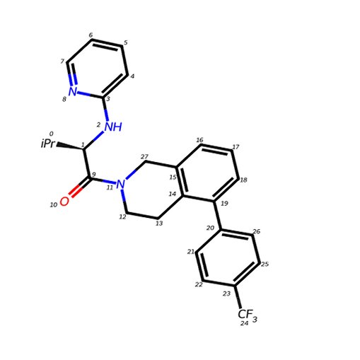 CC(C)[C@@H](Nc1ccccn1)C(=O)N1CCc2c(cccc2-c2ccc(C(F)(F)F)cc2)C1